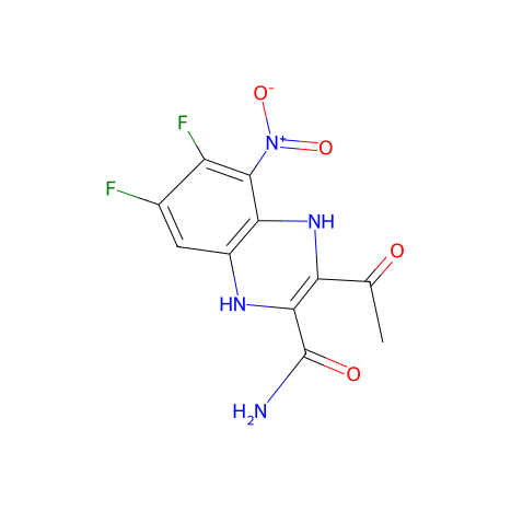 CC(=O)C1=C(C(N)=O)Nc2cc(F)c(F)c([N+](=O)[O-])c2N1